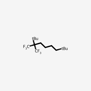 CC(C)(C)CCCCC(C(C)(C)C)(C(F)(F)F)C(F)(F)F